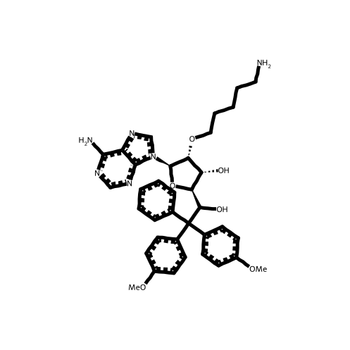 COc1ccc(C(c2ccccc2)(c2ccc(OC)cc2)C(O)[C@H]2O[C@@H](n3cnc4c(N)ncnc43)[C@H](OCCCCCN)[C@@H]2O)cc1